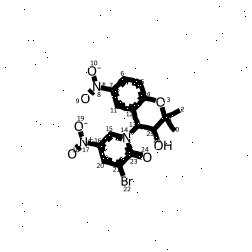 CC1(C)Oc2ccc([N+](=O)[O-])cc2C(n2cc([N+](=O)[O-])cc(Br)c2=O)C1O